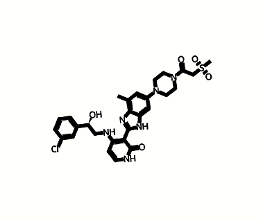 Cc1cc(N2CCN(C(=O)CS(C)(=O)=O)CC2)cc2[nH]c(-c3c(NC[C@@H](O)c4cccc(Cl)c4)cc[nH]c3=O)nc12